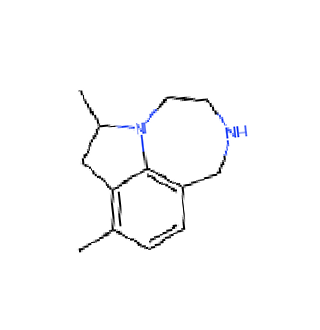 Cc1ccc2c3c1CC(C)N3CCNC2